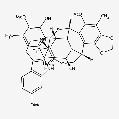 C=C1OC[C@H]2c3c4c(c(C)c(OC(C)=O)c3[C@@H](SC[C@]13NCCc1c3[nH]c3cc(OC)ccc13)C1[C@H]3c5c(cc(C)c(OC)c5O)C[C@H]([C@H](C#N)N12)N3C)OCO4